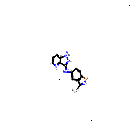 Cc1nsc2ccc(Nc3n[nH]c4cccnc34)cc12